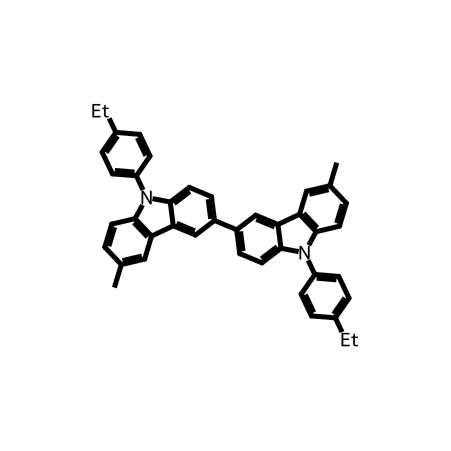 CCc1ccc(-n2c3ccc(C)cc3c3cc(-c4ccc5c(c4)c4cc(C)ccc4n5-c4ccc(CC)cc4)ccc32)cc1